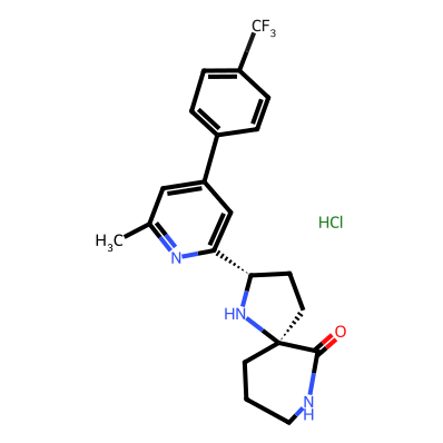 Cc1cc(-c2ccc(C(F)(F)F)cc2)cc([C@@H]2CC[C@]3(CCCNC3=O)N2)n1.Cl